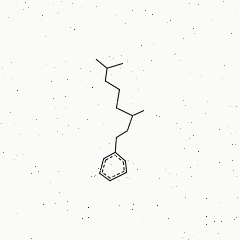 CC(C)CCCC(C)CCc1[c]cccc1